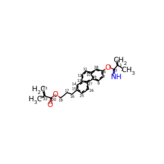 C=C(C)C(=N)Oc1ccc2c(ccc3cc(CCCOC(=O)C(=C)C)ccc32)c1